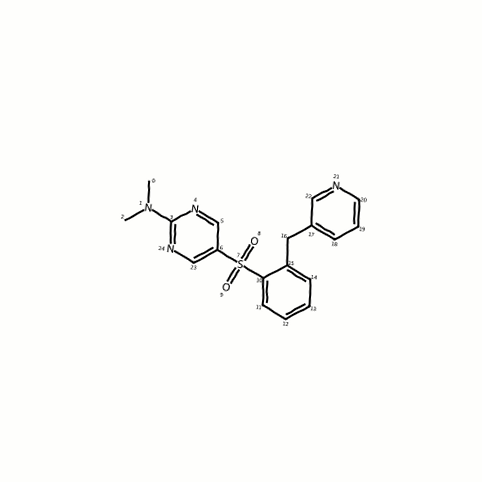 CN(C)c1ncc(S(=O)(=O)c2ccccc2Cc2cccnc2)cn1